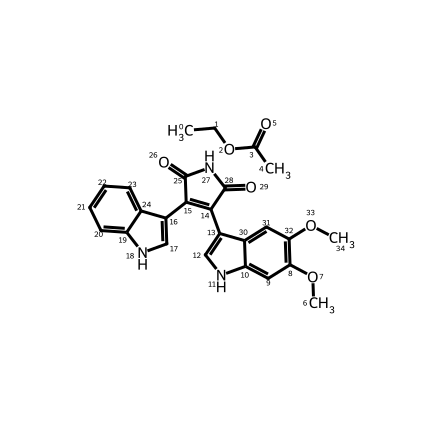 CCOC(C)=O.COc1cc2[nH]cc(C3=C(c4c[nH]c5ccccc45)C(=O)NC3=O)c2cc1OC